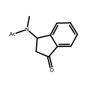 CC(=O)N(C)C1CC(=O)c2ccccc21